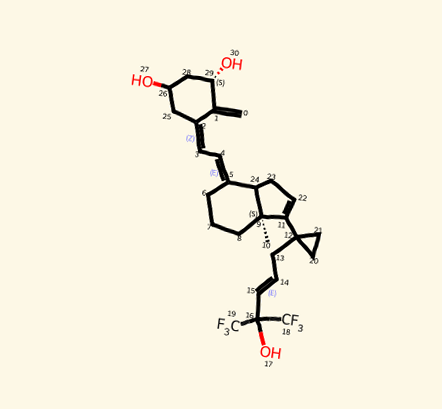 C=C1/C(=C\C=C2/CCC[C@]3(C)C(C4(C/C=C/C(O)(C(F)(F)F)C(F)(F)F)CC4)=CCC23)CC(O)C[C@@H]1O